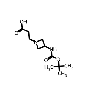 CC(C)(C)OC(=O)NC1CN(CCC(=O)O)C1